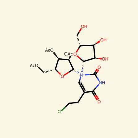 CC(=O)OC[C@H]1O[C@@H]([N+]2([C@@H]3O[C@H](CO)[C@@H](O)[C@H]3O)C=C(CCCl)C(=O)NC2=O)[C@H](OC(C)=O)[C@@H]1OC(C)=O